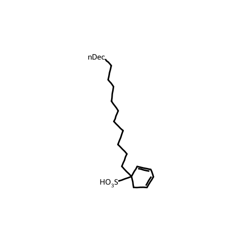 CCCCCCCCCCCCCCCCCCCCC1(S(=O)(=O)O)C=CC=CC1